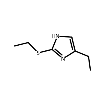 CCSc1nc(CC)c[nH]1